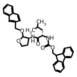 CC(C)C[C@H](NC(=O)OCC1c2ccccc2-c2ccccc21)C(=O)N[C@H]1CCOC1OCc1ccc2ccccc2c1